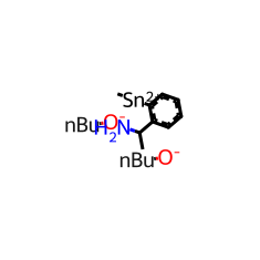 CCCC[O-].CCCC[O-].[CH3][Sn+2][c]1ccccc1C(C)N